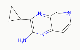 Nc1nc2ccncc2nc1C1CC1